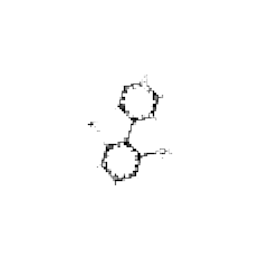 Cc1ccccc1-c1ccncc1.Cl